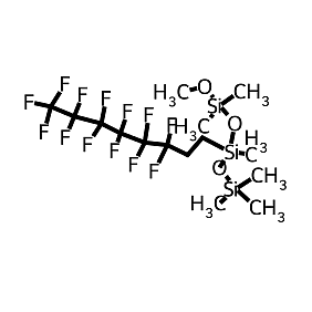 CO[Si](C)(C)O[Si](C)(CCC(F)(F)C(F)(F)C(F)(F)C(F)(F)C(F)(F)C(F)(F)F)O[Si](C)(C)C